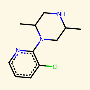 CC1CN(c2ncccc2Cl)C(C)CN1